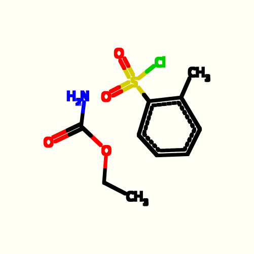 CCOC(N)=O.Cc1ccccc1S(=O)(=O)Cl